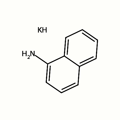 Nc1cccc2ccccc12.[KH]